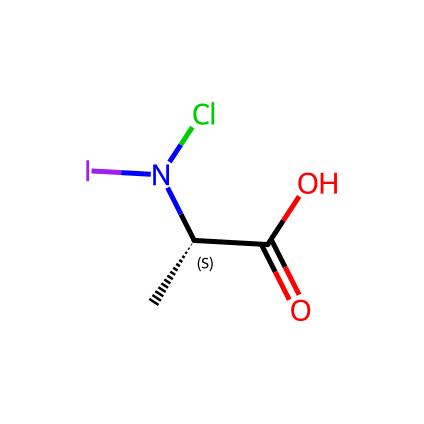 C[C@@H](C(=O)O)N(Cl)I